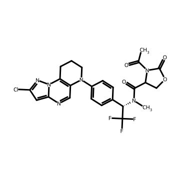 CC(=O)N1C(=O)OCC1C(=O)N(C)[C@@H](c1ccc(N2CCCc3c2cnc2cc(Cl)nn32)cc1)C(F)(F)F